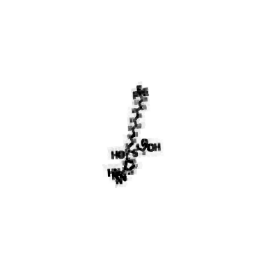 O=C(O)CCS[C@H](/C=C/C=C/CCCCCCCCC(F)(F)F)[C@@H](O)c1cccc(-c2nnn[nH]2)c1